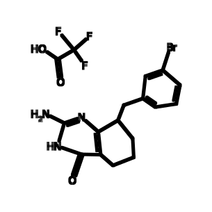 Nc1nc2c(c(=O)[nH]1)CCCC2Cc1cccc(Br)c1.O=C(O)C(F)(F)F